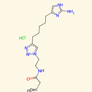 CCCCCCCCCCCC(=O)NCCn1cc(CCCCCc2c[nH]c(N)n2)nn1.Cl